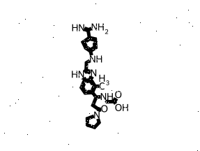 Cc1c(C(CC(=O)N2CCCC2)NCC(=O)O)ccc2[nH]c(CNc3ccc(C(=N)N)cc3)nc12